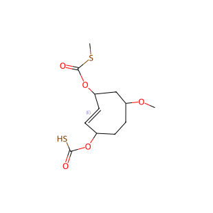 COC1CCC(OC(=O)S)/C=C/C(OC(=O)SC)C1